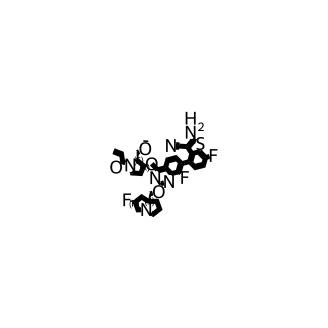 C=CC(=O)N1CC[C@@H](Oc2nc(OC[C@@]34CCCN3C[C@H](F)C4)nc3c(F)c(-c4ccc(F)c5sc(N)c(C#N)c45)ccc23)[C@@H]1COC